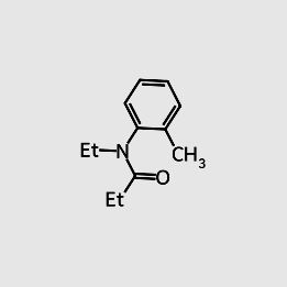 CCC(=O)N(CC)c1ccccc1C